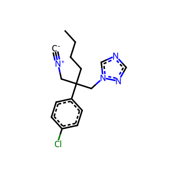 [C-]#[N+]CC(CCCC)(Cn1cncn1)c1ccc(Cl)cc1